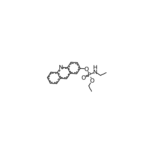 CCNP(=O)(OCC)Oc1ccc2nc3ccccc3cc2c1